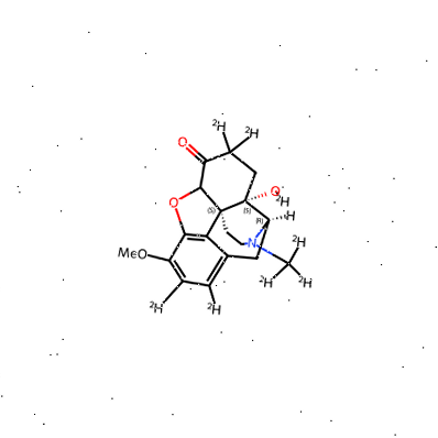 [2H]O[C@@]12CC([2H])([2H])C(=O)C3Oc4c(OC)c([2H])c([2H])c5c4[C@@]31CCN(C([2H])([2H])[2H])[C@@H]2C5